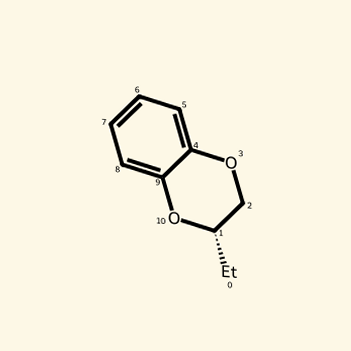 CC[C@H]1COc2ccccc2O1